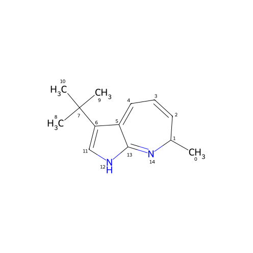 CC1C=CC=c2c(C(C)(C)C)c[nH]c2=N1